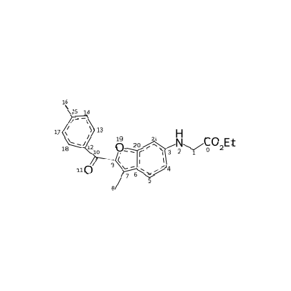 CCOC(=O)CNc1ccc2c(C)c(C(=O)c3ccc(C)cc3)oc2c1